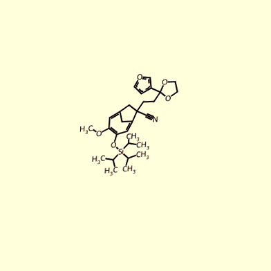 COC1=C(O[Si](C(C)C)(C(C)C)C(C)C)C=C2CC(=C1)CC2(C#N)CCC1(c2ccoc2)OCCO1